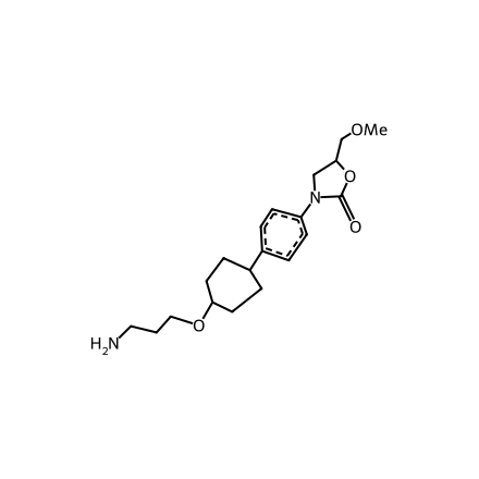 COCC1CN(c2ccc(C3CCC(OCCCN)CC3)cc2)C(=O)O1